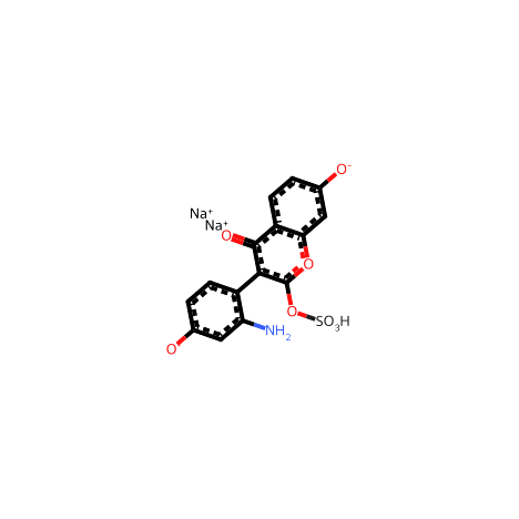 Nc1cc([O-])ccc1-c1c(OS(=O)(=O)O)oc2cc([O-])ccc2c1=O.[Na+].[Na+]